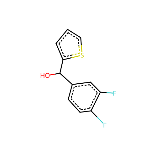 OC(c1ccc(F)c(F)c1)c1cccs1